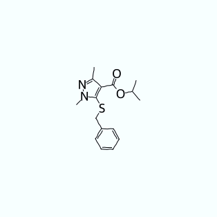 Cc1nn(C)c(SCc2ccccc2)c1C(=O)OC(C)C